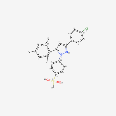 Cc1cc(C)c(-c2cc(-c3ccc(Cl)cc3)nn2-c2ccc(S(C)(=O)=O)cc2)c(C)c1